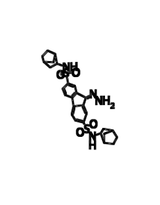 NN=C1c2cc(S(=O)(=O)NC3CC4CCC3C4)ccc2-c2ccc(S(=O)(=O)NC3CC4CCC3C4)cc21